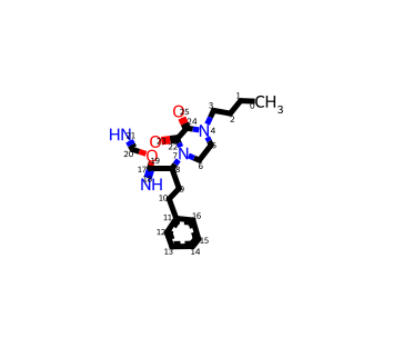 CCCCN1CCN(C(CCc2ccccc2)C(=N)OC=N)C(=O)C1=O